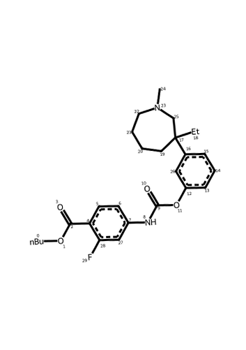 CCCCOC(=O)c1ccc(NC(=O)Oc2cccc(C3(CC)CCCCN(C)C3)c2)cc1F